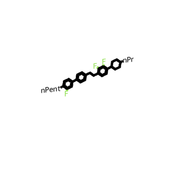 CCCCCc1ccc(-c2ccc(CCc3ccc(C4CCC(CCC)CC4)c(F)c3F)cc2)cc1F